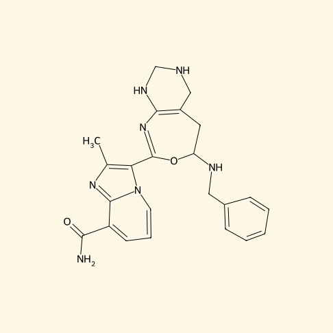 Cc1nc2c(C(N)=O)cccn2c1C1=NC2=C(CNCN2)CC(NCc2ccccc2)O1